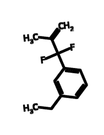 C=C(C)C(F)(F)c1cccc(CC)c1